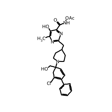 CC(=O)ONC(=O)c1nc(CC2CCN(C3(CO)C=CC(c4ccccc4)=C(Cl)C3)CC2)nc(C)c1O